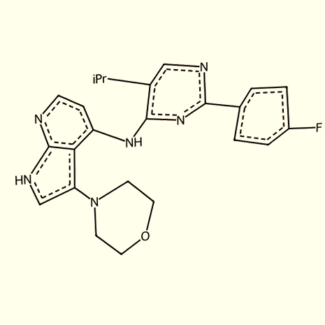 CC(C)c1cnc(-c2ccc(F)cc2)nc1Nc1ccnc2[nH]cc(N3CCOCC3)c12